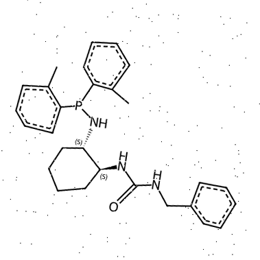 Cc1ccccc1P(N[C@H]1CCCC[C@@H]1NC(=O)NCc1ccccc1)c1ccccc1C